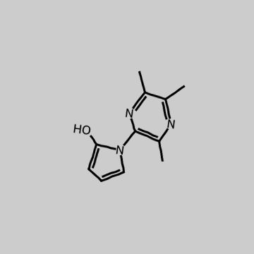 Cc1nc(C)c(-n2cccc2O)nc1C